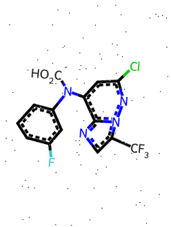 O=C(O)N(c1cccc(F)c1)c1cc(Cl)nn2c(C(F)(F)F)cnc12